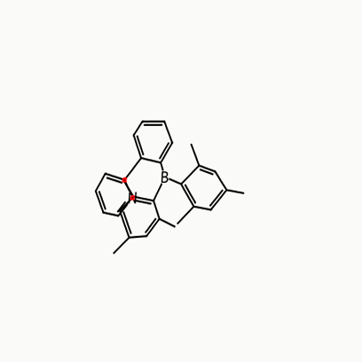 Cc1cc(C)c(B(c2ccccc2-c2ccccn2)c2c(C)cc(C)cc2C)c(C)c1